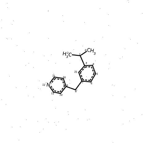 CC(C)c1cccc([CH]c2ccncc2)c1